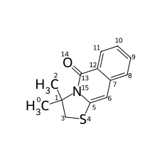 CC1(C)CSc2cc3ccccc3c(=O)n21